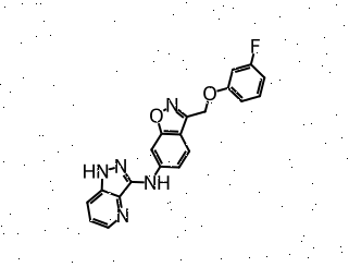 Fc1cccc(OCc2noc3cc(Nc4n[nH]c5cccnc45)ccc23)c1